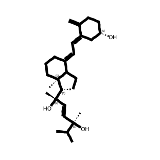 C=C1CC[C@H](O)CC1=CC=C1CCC[C@@]2(C)C1CC[C@@H]2[C@@](C)(O)C=C[C@@](C)(O)C(C)C